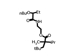 CCCCOC(CC)C(=O)NCCOC(=O)C(C)(CC(C)(C)C)C(C)C